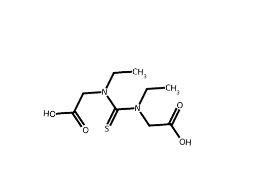 CCN(CC(=O)O)C(=S)N(CC)CC(=O)O